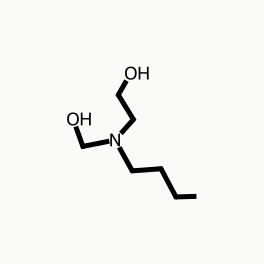 CCCCN(CO)CCO